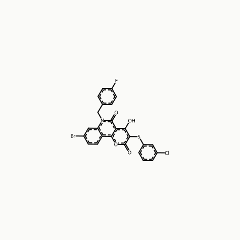 O=c1oc2c(c(O)c1Sc1cccc(Cl)c1)c(=O)n(Cc1ccc(F)cc1)c1cc(Br)ccc21